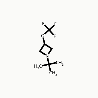 CC(C)(C)N1CC(OC(F)(F)F)C1